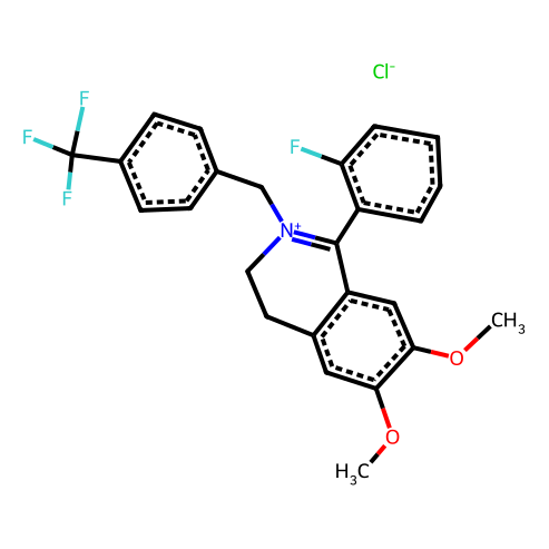 COc1cc2c(cc1OC)C(c1ccccc1F)=[N+](Cc1ccc(C(F)(F)F)cc1)CC2.[Cl-]